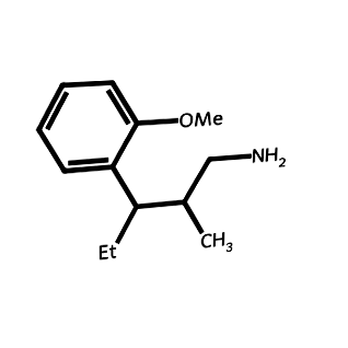 CCC(c1ccccc1OC)C(C)CN